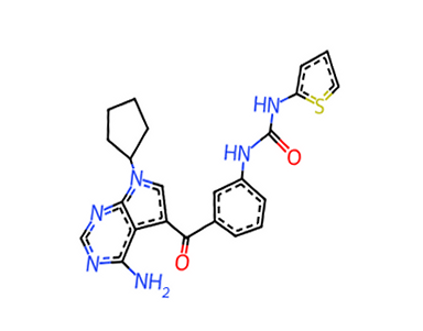 Nc1ncnc2c1c(C(=O)c1cccc(NC(=O)Nc3cccs3)c1)cn2C1CCCC1